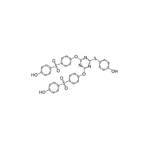 O=S(=O)(c1ccc(O)cc1)c1ccc(Oc2nc(Oc3ccc(S(=O)(=O)c4ccc(O)cc4)cc3)nc(Sc3ccc(O)cc3)n2)cc1